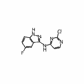 Fc1ccc2[nH]nc(Nc3ccnc(Cl)n3)c2c1